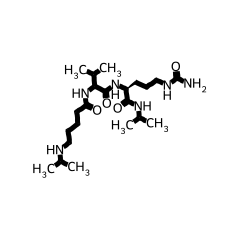 CC(C)NCCCCC(=O)NC(C(=O)N[C@@H](CCCNC(N)=O)C(=O)NC(C)C)C(C)C